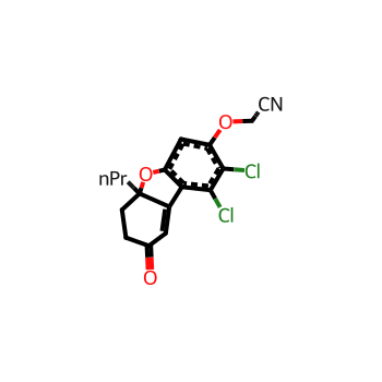 CCCC12CCC(=O)C=C1c1c(cc(OCC#N)c(Cl)c1Cl)O2